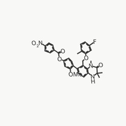 COc1cc(OC(=O)c2ccc([N+](=O)[O-])cc2)ccc1-c1ccc2c(c1COc1cc(F)ccc1C)N(C)C(=O)C(C)(C)N2